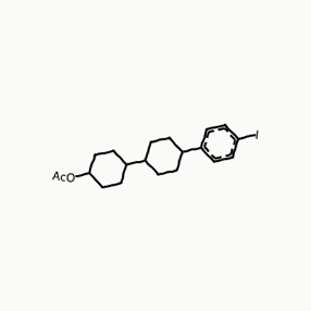 CC(=O)OC1CCC(C2CCC(c3ccc(I)cc3)CC2)CC1